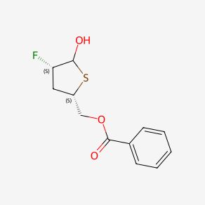 O=C(OC[C@@H]1C[C@H](F)C(O)S1)c1ccccc1